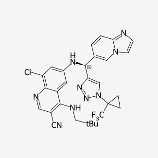 CC(C)(C)CNc1c(C#N)cnc2c(Cl)cc(N[C@@H](c3ccc4nccn4c3)c3cn(C4(C(F)(F)F)CC4)nn3)cc12